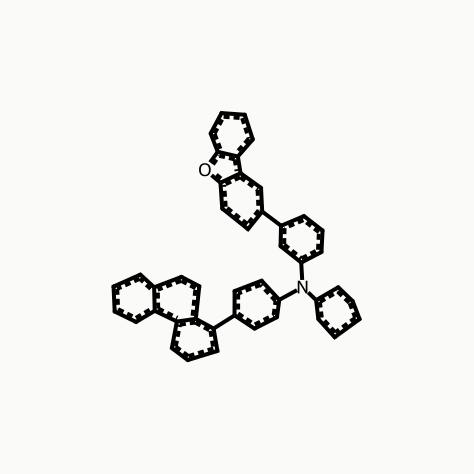 c1ccc(N(c2ccc(-c3cccc4c3ccc3ccccc34)cc2)c2cccc(-c3ccc4oc5ccccc5c4c3)c2)cc1